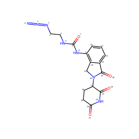 [N-]=[N+]=NCCNC(=O)Nc1cccc2c1CN(C1CCC(=O)NC1=O)C2=O